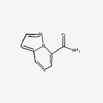 NC(=O)c1cncc2ccnn12